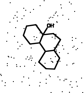 OC12CCCCC1C1CCCCC1CC2